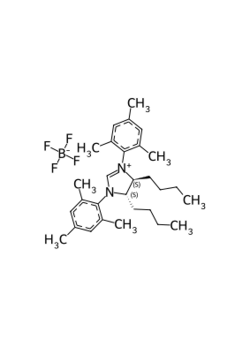 CCCC[C@H]1[C@H](CCCC)[N+](c2c(C)cc(C)cc2C)=CN1c1c(C)cc(C)cc1C.F[B-](F)(F)F